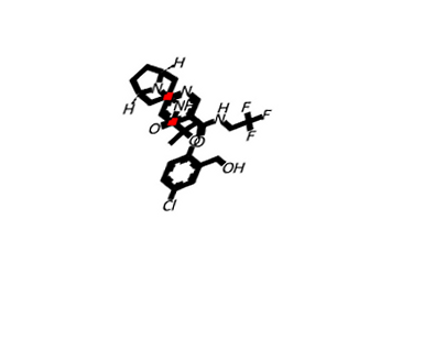 CC(C)(Oc1ccc(Cl)cc1CO)C(=O)N[C@H]1C[C@H]2CC[C@@H](C1)N2c1ccc(C(=O)NCC(F)(F)F)cn1